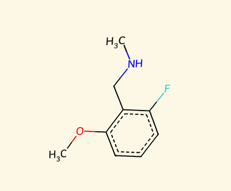 CNCc1c(F)cccc1OC